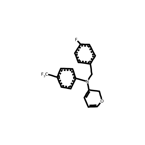 Fc1ccc(CN(C2=CC=COC2)c2ccc(C(F)(F)F)cc2)cc1